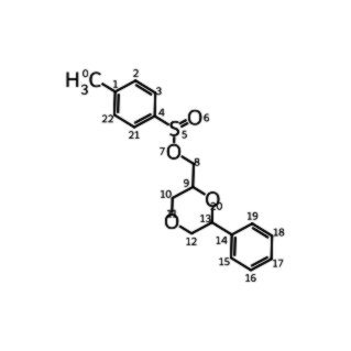 Cc1ccc(S(=O)OCC2COCC(c3ccccc3)O2)cc1